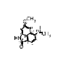 CNc1ccc2c3c(cc(OC)cc13)NC2=O